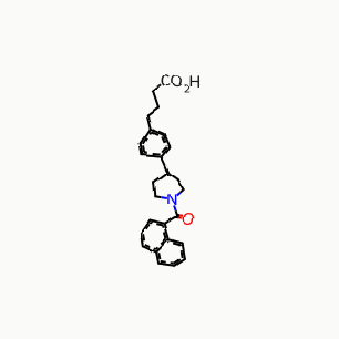 O=C(O)CCCc1ccc(C2CCN(C(=O)c3cccc4ccccc34)CC2)cc1